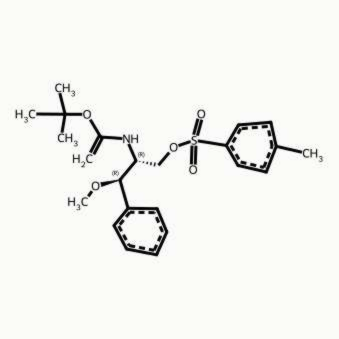 C=C(N[C@H](COS(=O)(=O)c1ccc(C)cc1)[C@H](OC)c1ccccc1)OC(C)(C)C